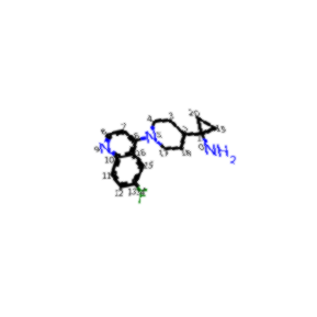 NC1(C2CCN(c3ccnc4ccc(F)cc34)CC2)CC1